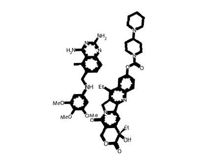 CCc1c2c(nc3ccc(OC(=O)N4CCC(N5CCCCC5)CC4)cc13)-c1cc3c(c(=O)n1C2)COC(=O)[C@]3(O)CC.COc1cc(NCc2ccc3nc(N)nc(N)c3c2C)cc(OC)c1OC